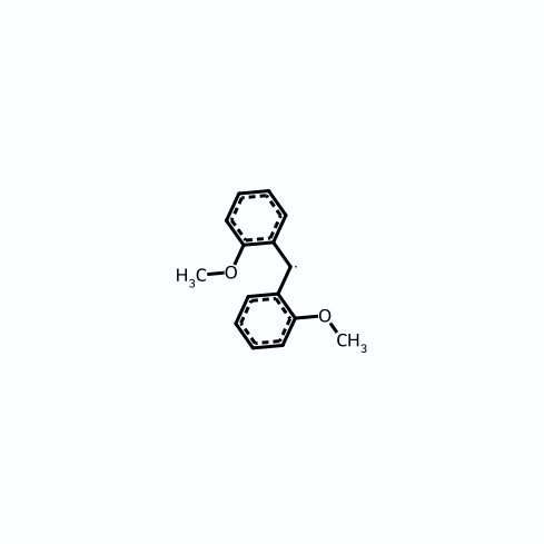 COc1ccccc1[CH]c1ccccc1OC